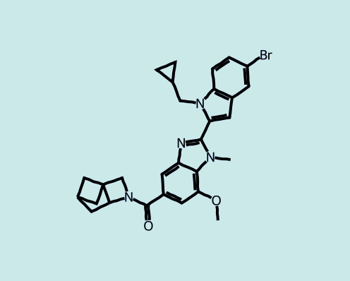 COc1cc(C(=O)N2CC34CC(CC23)C4)cc2nc(-c3cc4cc(Br)ccc4n3CC3CC3)n(C)c12